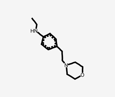 CCNc1ccc(CCN2CCOCC2)cc1